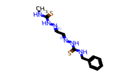 CNC(=S)N/N=C/C=N/NC(=S)NCc1ccccc1